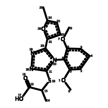 COc1cccc(OC)c1-n1c(SC(C)C(=O)O)nnc1-c1ccc(C)o1